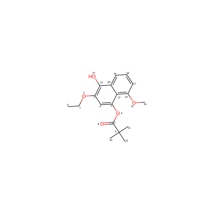 CCOc1cc(OC(=O)C(C)(C)C)c2c(OC)cccc2c1O